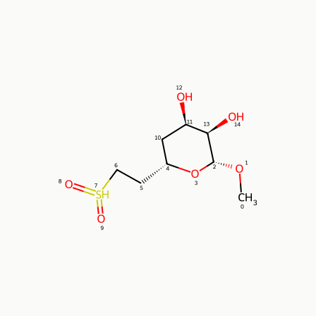 CO[C@@H]1O[C@H](CC[SH](=O)=O)C[C@@H](O)[C@H]1O